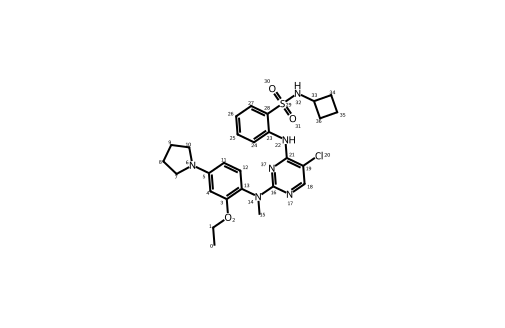 CCOc1cc(N2CCCC2)ccc1N(C)c1ncc(Cl)c(Nc2ccccc2S(=O)(=O)NC2CCC2)n1